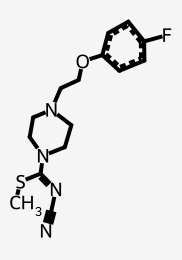 CS/C(=N\C#N)N1CCN(CCOc2ccc(F)cc2)CC1